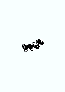 O=C(Nc1cccc(-c2ncnn3cccc23)c1)c1ccc(N2COCCS2(=O)=O)cc1Cl